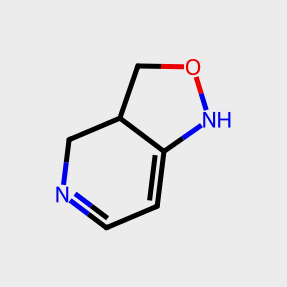 C1=NCC2CONC2=C1